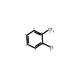 C[CH]c1ccccc1C(F)(F)F